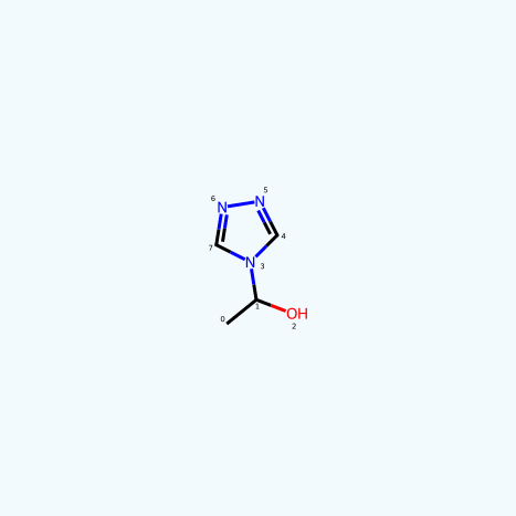 CC(O)n1cnnc1